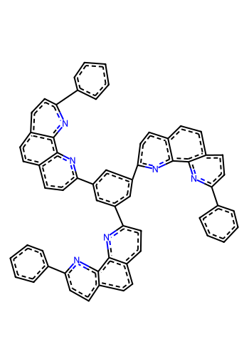 c1ccc(-c2ccc3ccc4ccc(-c5cc(-c6ccc7ccc8ccc(-c9ccccc9)nc8c7n6)cc(-c6ccc7ccc8ccc(-c9ccccc9)nc8c7n6)c5)nc4c3n2)cc1